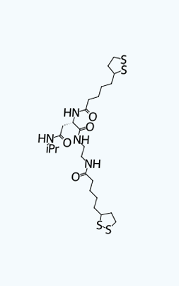 CC(C)NC(=O)C[C@H](NC(=O)CCCCC1CCSS1)C(=O)NCCNC(=O)CCCCC1CCSS1